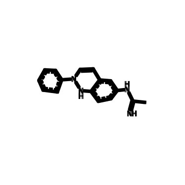 CC(=N)Nc1ccc2c(c1)C=CN(c1ccccc1)N2